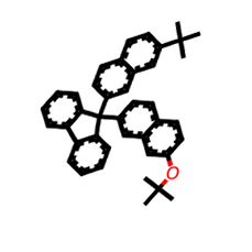 CC(C)(C)Oc1ccc2ccc(C3(c4ccc5ccc(C(C)(C)C)cc5c4)c4ccccc4-c4ccccc43)cc2c1